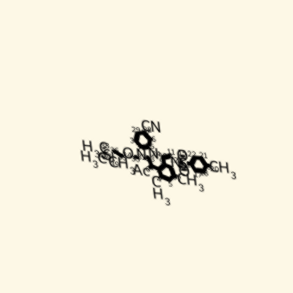 CC(=O)C(c1c(C)cc(C)c2c1ccn2S(=O)(=O)c1ccc(C)cc1)c1nc2cc(C#N)ccc2n1COCC[Si](C)(C)C